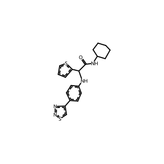 O=C(NC1CCCCC1)C(Nc1ccc(-c2csnn2)cc1)c1cccs1